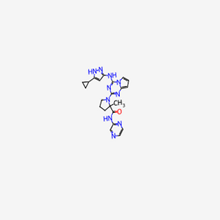 CC1(C(=O)Nc2cnccn2)CCCN1c1nc(Nc2cc(C3CC3)[nH]n2)n2cccc2n1